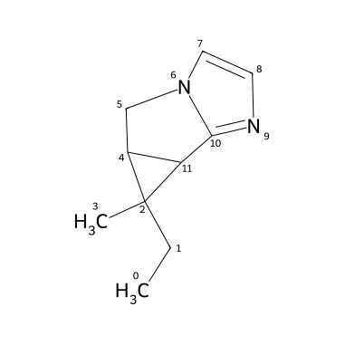 CCC1(C)C2Cn3ccnc3C21